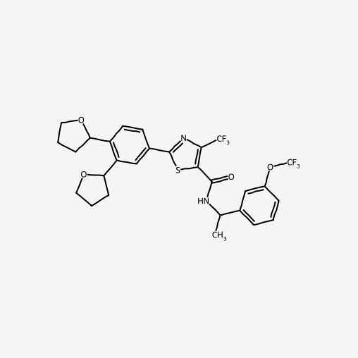 CC(NC(=O)c1sc(-c2ccc(C3CCCO3)c(C3CCCO3)c2)nc1C(F)(F)F)c1cccc(OC(F)(F)F)c1